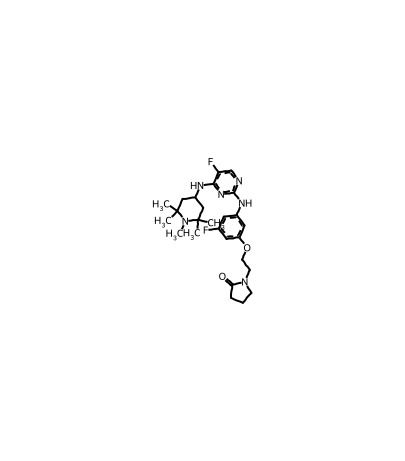 CN1C(C)(C)CC(Nc2nc(Nc3cc(F)cc(OCCN4CCCC4=O)c3)ncc2F)CC1(C)C